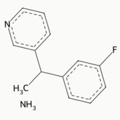 CC(c1cccnc1)c1cccc(F)c1.N